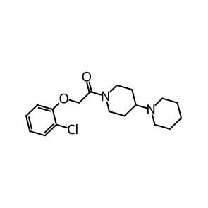 O=C(COc1ccccc1Cl)N1CCC(N2CCCCC2)CC1